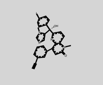 C#Cc1cccc(-c2cc(=O)n(C)c3ccc([C@](O)(c4ccc(I)cc4)c4cncn4C)nc23)c1